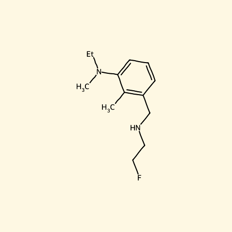 CCN(C)c1cccc(CNCCF)c1C